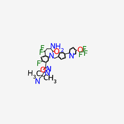 CC(C)(C#N)c1nnc(-c2cc3c(cc2F)C(F)(F)C[C@H](N)C(=O)N3Cc2ccc(-c3ccc(OC(F)(F)F)cn3)cc2)o1